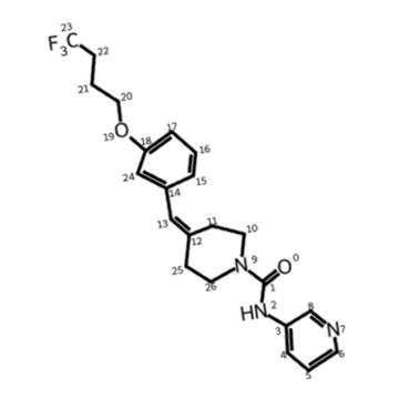 O=C(Nc1cccnc1)N1CCC(=Cc2cccc(OCCCC(F)(F)F)c2)CC1